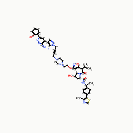 Cc1ncsc1-c1ccc([C@H](C)NC(=O)[C@@H]2C[C@@H](O)CN2C(=O)C(c2cc(OCCN3CCN(CC#CCn4cc(-c5cc(-c6ccccc6O)nnc5N)cn4)CC3)no2)C(C)C)cc1